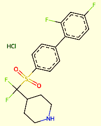 Cl.O=S(=O)(c1ccc(-c2ccc(F)cc2F)cc1)C(F)(F)C1CCNCC1